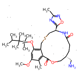 COc1cc(O[Si](C)(C)C(C)(C)C(C)C)c2c(c1C)C(=O)OC[C@@H](CN)CCC(=O)N[C@H](c1nc(C)no1)CSC2